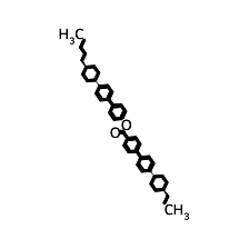 CCCCC[C@H]1CC[C@H](c2ccc(-c3ccc(OC(=O)c4ccc(-c5ccc([C@H]6CC[C@H](CCC)CC6)cc5)cc4)cc3)cc2)CC1